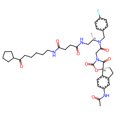 CC(=O)Nc1ccc2c(c1)CC[C@@]21OC(=O)N(CC(=O)N(Cc2ccc(F)cc2)[C@@H](C)CNC(=O)CCC(=O)NCCCCCC(=O)C2CCCC2)C1=O